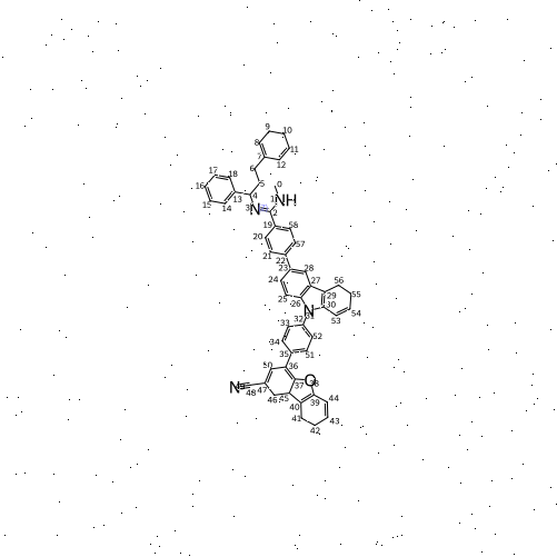 CN/C(=N\C(CCC1=CCCC=C1)c1ccccc1)c1ccc(-c2ccc3c(c2)c2c(n3-c3ccc(C4=C5OC6=C(CCC=C6)C5CC(C#N)=C4)cc3)C=CCC2)cc1